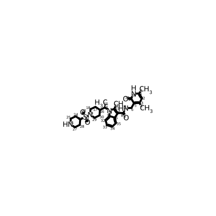 Cc1cc(C)c(CNC(=O)c2c(C)n([C@H](C)C3CCN(S(=O)(=O)C4CCNCC4)CC3)c3ccccc23)c(=O)[nH]1